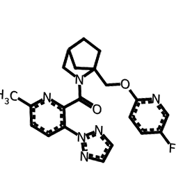 Cc1ccc(-n2nccn2)c(C(=O)N2CC3CCC2(COc2ccc(F)cn2)C3)n1